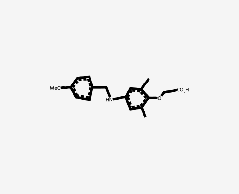 COc1ccc(CNc2cc(C)c(OCC(=O)O)c(C)c2)cc1